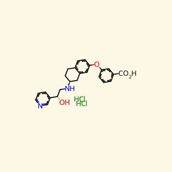 Cl.Cl.O=C(O)c1cccc(Oc2ccc3c(c2)C[C@@H](NC[C@H](O)c2cccnc2)CC3)c1